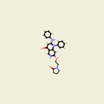 O=C1CCCN1CCOc1cc2c(cn1)c(=O)cc(Nc1ccccc1)n2-c1ccccc1